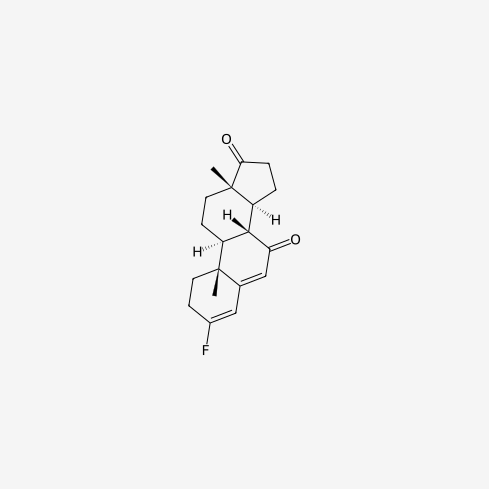 C[C@]12CCC(F)=CC1=CC(=O)[C@@H]1[C@@H]2CC[C@]2(C)C(=O)CC[C@@H]12